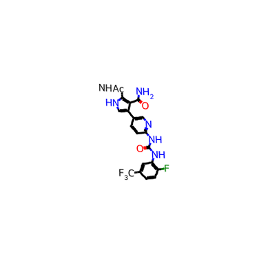 CC(=O)Nc1[nH]cc(-c2ccc(NC(=O)Nc3cc(C(F)(F)F)ccc3F)nc2)c1C(N)=O